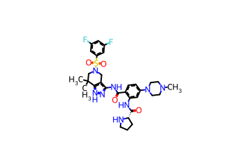 CN1CCN(c2ccc(C(=O)Nc3n[nH]c4c3CN(S(=O)(=O)c3cc(F)cc(F)c3)CC4(C)C)c(NC(=O)[C@@H]3CCCN3)c2)CC1